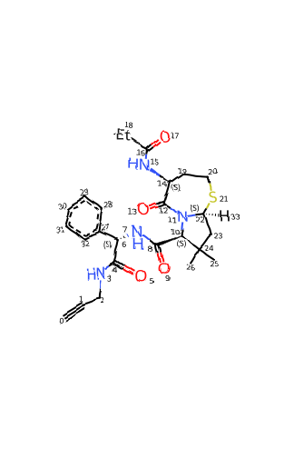 C#CCNC(=O)[C@@H](NC(=O)[C@H]1N2C(=O)[C@@H](NC(=O)[CH]C)CCS[C@H]2CC1(C)C)c1ccccc1